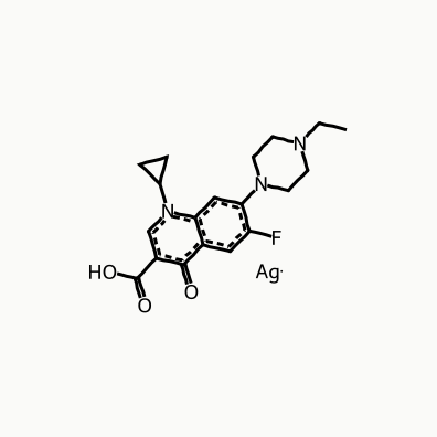 CCN1CCN(c2cc3c(cc2F)c(=O)c(C(=O)O)cn3C2CC2)CC1.[Ag]